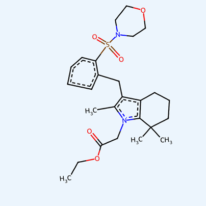 CCOC(=O)Cn1c(C)c(Cc2ccccc2S(=O)(=O)N2CCOCC2)c2c1C(C)(C)CCC2